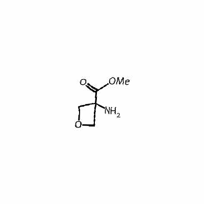 COC(=O)C1(N)COC1